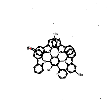 CC(C)(C)c1ccc2c(c1)c1ccccc1n2-c1c(C#N)c(-c2ccccn2)c(-n2c3ccccc3c3cc(C(C)(C)C)ccc32)c(-n2c3ccccc3c3cc(C(C)(C)C)ccc32)c1-n1c2ccccc2c2cc(C(C)(C)C)ccc21